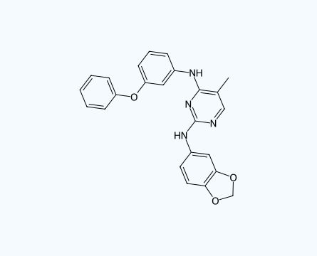 Cc1cnc(Nc2ccc3c(c2)OCO3)nc1Nc1cccc(Oc2ccccc2)c1